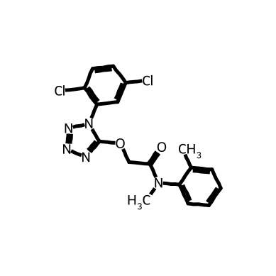 Cc1ccccc1N(C)C(=O)COc1nnnn1-c1cc(Cl)ccc1Cl